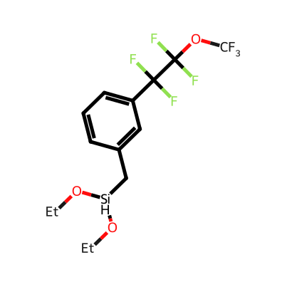 CCO[SiH](Cc1cccc(C(F)(F)C(F)(F)OC(F)(F)F)c1)OCC